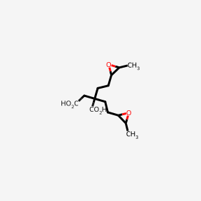 CC1OC1CCC(CCC1OC1C)(CC(=O)O)C(=O)O